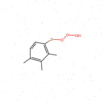 Cc1ccc(SOOO)c(C)c1C